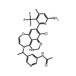 CC(=O)Nc1cncc(C(C)N2C=COc3cc(-c4nc(N)cc(C)c4C(F)(F)F)c(Cl)c4c3=C2NCN=4)c1